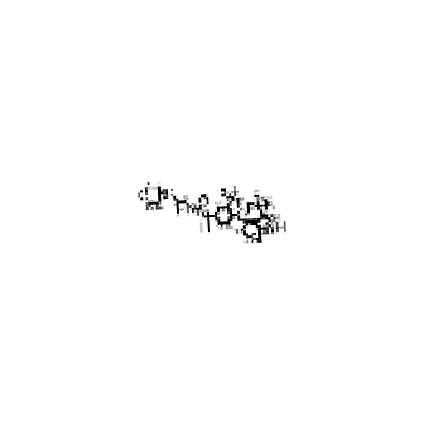 O=C(NCCCN1CCOCC1)Nc1ccc(Oc2ccnc3[nH]cc(C(F)(F)F)c23)c(C(F)(F)F)c1